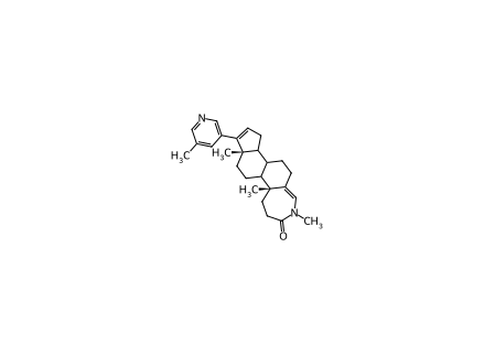 Cc1cncc(C2=CCC3C4CCC5=CN(C)C(=O)CC[C@]5(C)C4CC[C@]23C)c1